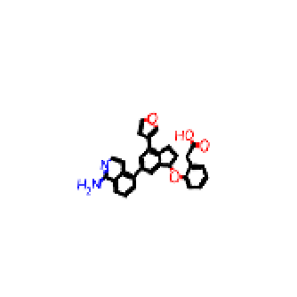 Nc1nccc2c(-c3cc(-c4ccoc4)c4c(c3)C(Oc3ccccc3CC(=O)O)CC4)cccc12